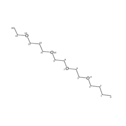 CCCCOCCOCCOCCCOCC